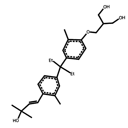 CCC(CC)(c1ccc(/C=C/C(C)(C)O)c(C)c1)c1ccc(OCC(CO)CO)c(C)c1